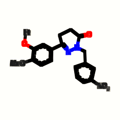 CCOc1cc(C2=NN(Cc3cccc([N+](=O)[O-])c3)C(=O)CC2)ccc1OC